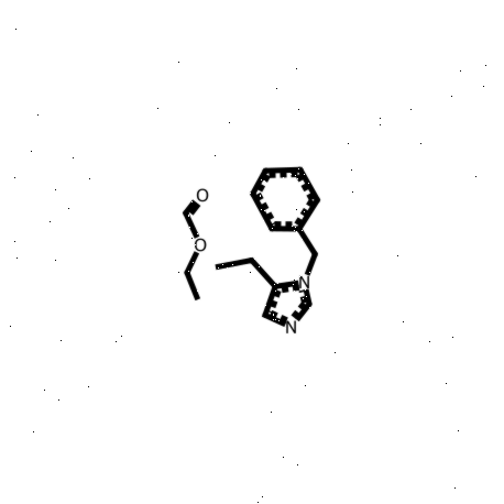 CCOC=O.CCc1cncn1Cc1ccccc1